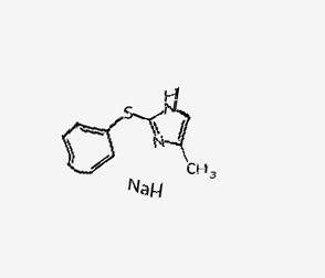 Cc1c[nH]c(Sc2ccccc2)n1.[NaH]